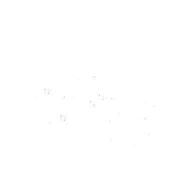 Cc1cc(-c2ncccn2)nn1Cc1ccccc1F